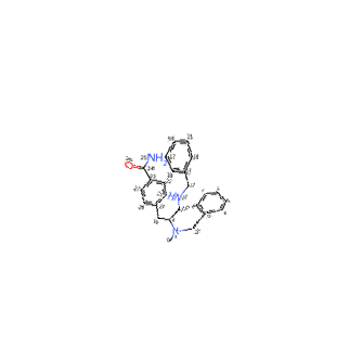 CN(Cc1ccccc1)[C@H](CNCc1ccccc1)Cc1ccc(C(N)=O)cc1